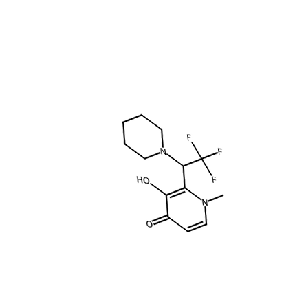 Cn1ccc(=O)c(O)c1C(N1CCCCC1)C(F)(F)F